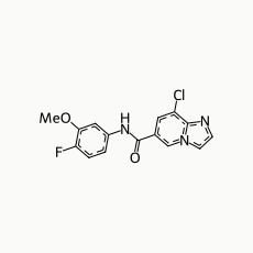 COc1cc(NC(=O)c2cc(Cl)c3nccn3c2)ccc1F